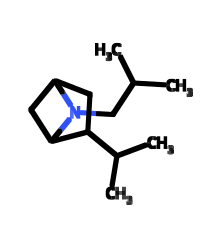 CC(C)CN1C2CC(C(C)C)C1C2